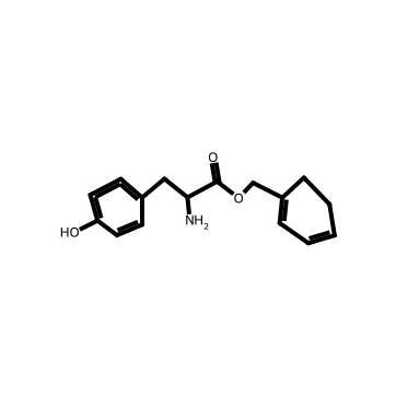 NC(CC1=C=C=C(O)C=C1)C(=O)OCC1=CC=CCC1